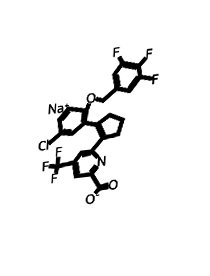 O=C([O-])c1cc(C(F)(F)F)cc(C2=C(c3cc(Cl)ccc3OCc3cc(F)c(F)c(F)c3)CCC2)n1.[Na+]